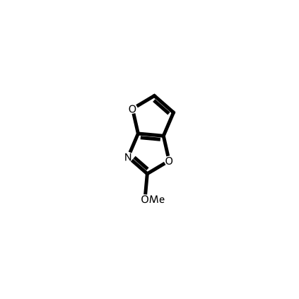 COc1nc2occc2o1